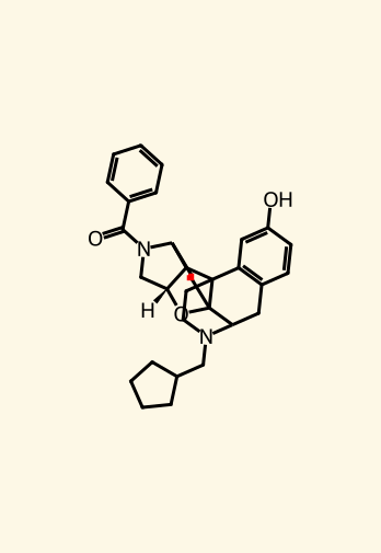 O=C(c1ccccc1)N1C[C@H]2OC34CCC1C2C31CCN(CC2CCCC2)C4Cc2ccc(O)cc21